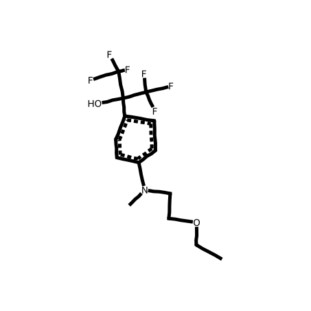 CCOCCN(C)c1ccc(C(O)(C(F)(F)F)C(F)(F)F)cc1